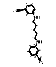 N#Cc1cccc(NCCCCCNc2cccc(C#N)c2)c1